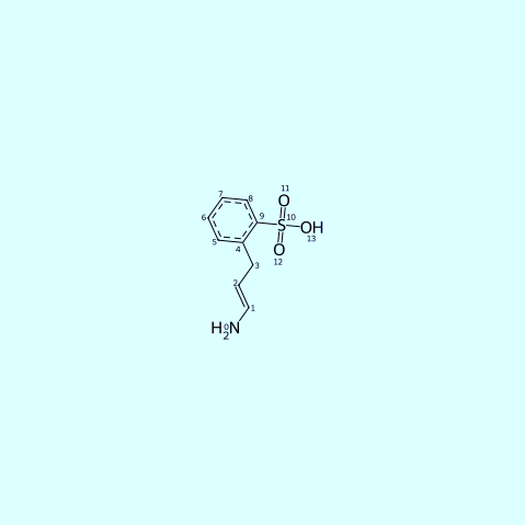 NC=CCc1ccccc1S(=O)(=O)O